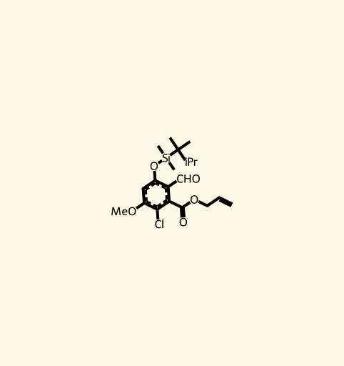 C=CCOC(=O)c1c(Cl)c(OC)cc(O[Si](C)(C)C(C)(C)C(C)C)c1C=O